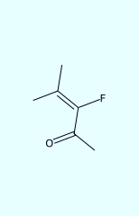 CC(=O)C(F)=C(C)C